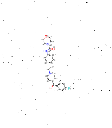 O=C(c1ccc(F)cc1)C1CCN(CC[C@H]2CC[C@H](NC(=O)N3CCOCC3)CC2)CC1